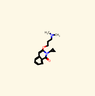 CN(C)CCCOc1cc2ccccc2c(=O)n1C1CC1